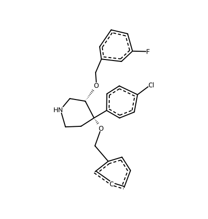 Fc1cccc(CO[C@H]2CNCC[C@]2(OCc2ccccc2)c2ccc(Cl)cc2)c1